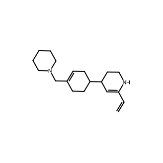 C=CC1=CC(C2CC=C(CN3CCCCC3)CC2)CCN1